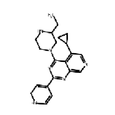 FC(F)(F)CC1CN(c2nc(C3=CCN[C]=C3)nc3cncc(C4CC4)c23)CCN1